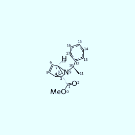 COC(=O)[C@@H]1C2C=C[C@H](C2)N1[C@H](C)c1ccccc1